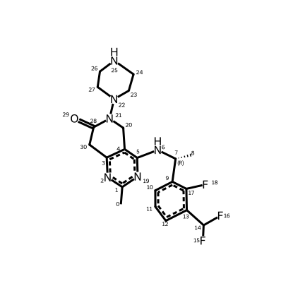 Cc1nc2c(c(N[C@H](C)c3cccc(C(F)F)c3F)n1)CN(N1CCNCC1)C(=O)C2